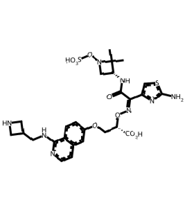 CC1(C)[C@H](NC(=O)/C(=N\O[C@@H](COc2ccc3c(NCC4CNC4)nccc3c2)C(=O)O)c2csc(N)n2)CN1OS(=O)(=O)O